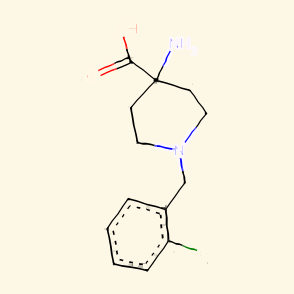 NC1(C(=O)O)CCN(Cc2ccccc2Cl)CC1